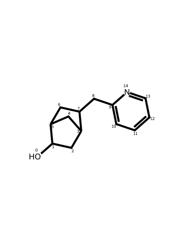 OC1CC2CC1CC2Cc1ccccn1